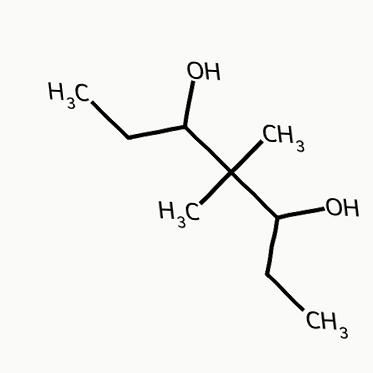 CCC(O)C(C)(C)C(O)CC